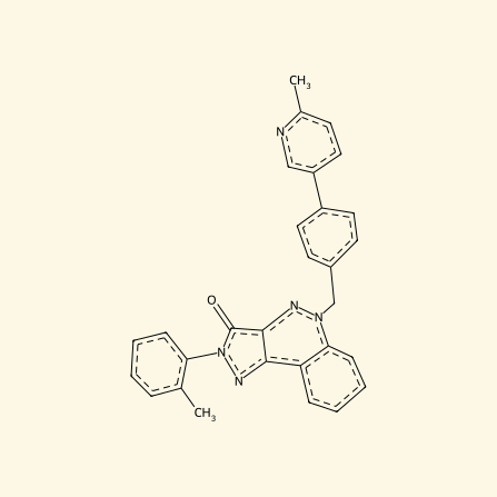 Cc1ccc(-c2ccc(Cn3nc4c(=O)n(-c5ccccc5C)nc-4c4ccccc43)cc2)cn1